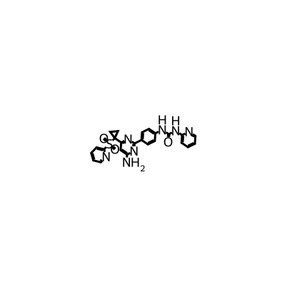 Nc1cc(C2(S(=O)(=O)c3ccccn3)CC2)nc(-c2ccc(NC(=O)Nc3ccccn3)cc2)n1